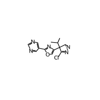 CC(C)C1(c2coc(-c3cncnc3)n2)C=NN=C1Cl